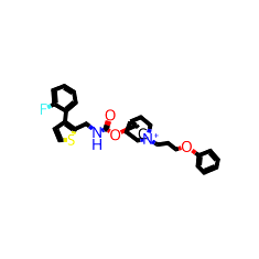 O=C(NCc1sccc1-c1ccccc1F)OC1C[N+]2(CCCOc3ccccc3)CCC1CC2